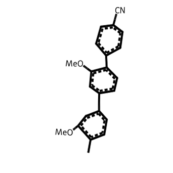 COc1cc(-c2ccc(-c3ccc(C#N)cc3)c(OC)c2)ccc1C